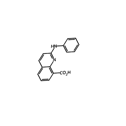 O=C(O)c1cccc2ccc(Nc3ccccc3)nc12